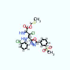 CSCOC(=O)C(=N)/C(Cl)=C(\Nc1ccccc1Cl)c1nnc(-c2cccc(S(C)(=O)=O)c2)o1